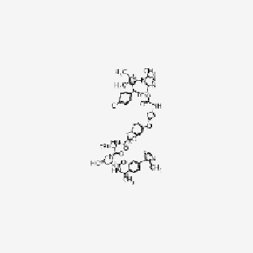 Cc1ncsc1-c1ccc([C@H](C)NC(=O)[C@@H]2C[C@@H](O)CN2C(=O)C(NC(=O)[C@H]2Cc3ccc(O[C@H]4C[C@@H](NC(=O)C[C@@H]5N=C(c6ccc(Cl)cc6)c6c(sc(C)c6C)-n6c(C)nnc65)C4)cc3O2)C(C)(C)C)cc1